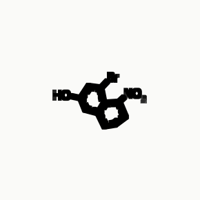 O=[N+]([O-])c1cccc2cc(O)cc(Br)c12